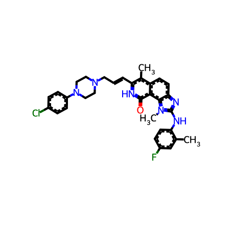 Cc1cc(F)ccc1Nc1nc2ccc3c(C)c(C=CCN4CCN(c5ccc(Cl)cc5)CC4)[nH]c(=O)c3c2n1C